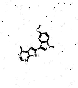 COc1ccc2c(c1)c(-c1cc3c(C)ncnc3[nH]1)cn2C